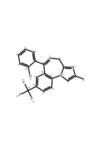 Cc1cn2c(n1)CN=C(c1ccccc1Cl)c1cc(C(F)(F)F)ccc1-2